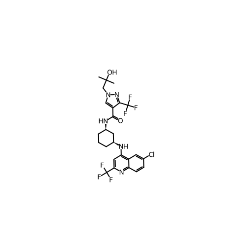 CC(C)(O)Cn1cc(C(=O)N[C@@H]2CCC[C@H](Nc3cc(C(F)(F)F)nc4ccc(Cl)cc34)C2)c(C(F)(F)F)n1